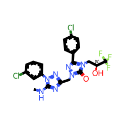 CNc1nc(Cn2nc(-c3ccc(Cl)cc3)n(C[C@H](O)C(F)(F)F)c2=O)nn1-c1cccc(Cl)c1